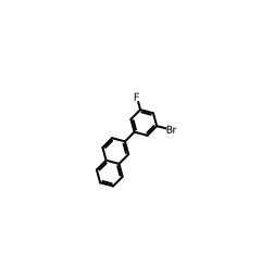 Fc1cc(Br)cc(-c2ccc3ccccc3c2)c1